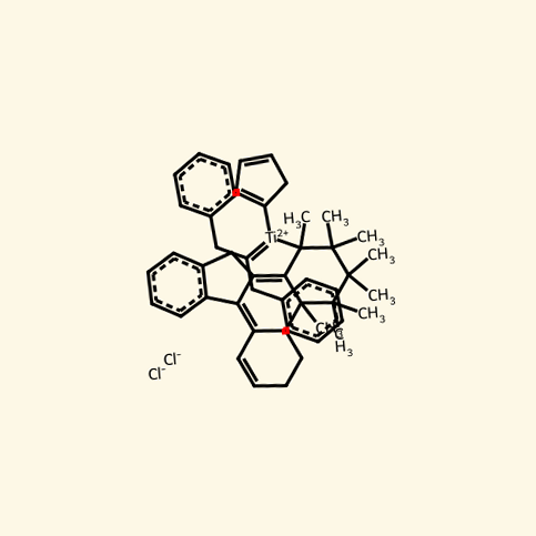 CC12C(=C3Cc4ccccc4C3=C3C=CCCC31)[C](C)([Ti+2]([C]1=CC=CC1)=[C](Cc1ccccc1)Cc1ccccc1)C(C)(C)C(C)(C)C2(C)C.[Cl-].[Cl-]